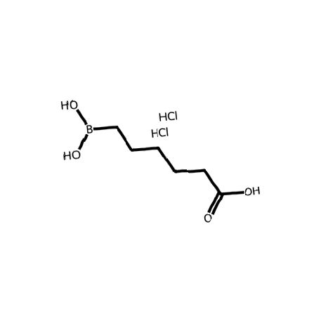 Cl.Cl.O=C(O)CCCCCB(O)O